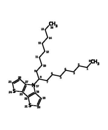 CCCCCCCCC(CCCCCCCC)n1c2ccsc2c2sccc21